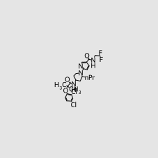 CCCC1CC(NC(=O)C(C)(C)Oc2ccc(Cl)cc2Cl)CCN1c1ccc(C(=O)NCC(F)F)cn1